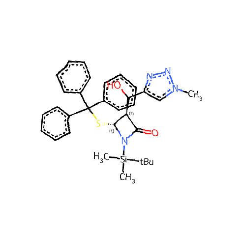 Cn1cc(C(O)[C@H]2C(=O)N([Si](C)(C)C(C)(C)C)[C@@H]2SC(c2ccccc2)(c2ccccc2)c2ccccc2)nn1